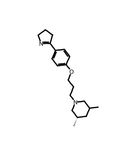 CC1C[C@H](C)CN(CCCOc2ccc(C3=NCCC3)cc2)C1